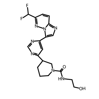 O=C(NCCO)N1CCCC(c2cc(-c3cnc4ccc(C(F)F)nn34)ncn2)C1